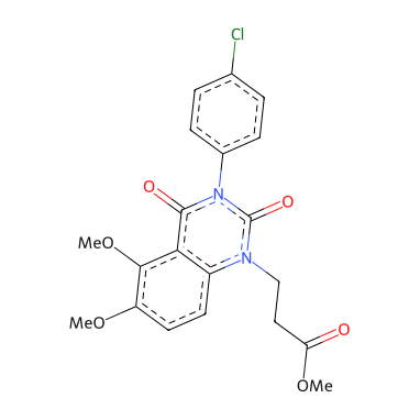 COC(=O)CCn1c(=O)n(-c2ccc(Cl)cc2)c(=O)c2c(OC)c(OC)ccc21